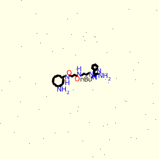 CCCCc1nc2c(N)nc3ccccc3c2n1CCCCNC(=O)CCC(=O)NCC1=C/C=C\C=C/C=C\C(N)=C/C=C\1